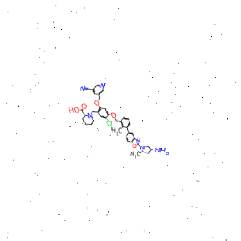 Cc1c(COc2cc(OCc3cncc(C#N)c3)c(CN3CCCC[C@H]3C(=O)O)cc2Cl)cccc1-c1ccc2oc(N3C[C@@H](N)C[C@H]3C)nc2c1